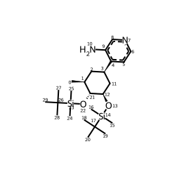 C[C@H]1C[C@@H](c2ccncc2N)C[C@@H](O[Si](C)(C)C(C)(C)C)[C@@H]1O[Si](C)(C)C(C)(C)C